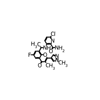 Cc1c(-c2cnn(C)c2)oc2c(C(C)Nc3ccc(Cl)nc3C(N)=O)cc(F)cc2c1=O